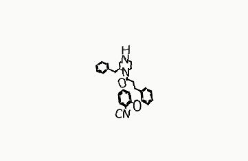 N#Cc1ccccc1Oc1ccccc1CCC(=O)N1CCNCC1Cc1ccccc1